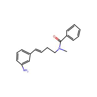 CN(CCC=Cc1cccc(N)c1)C(=O)c1ccccc1